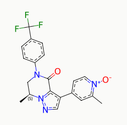 Cc1cc(-c2cnn3c2C(=O)N(c2ccc(C(F)(F)F)cc2)C[C@@H]3C)cc[n+]1[O-]